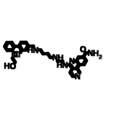 NC(=O)c1ccc2c(c1)nc(NCCNCCCCNCc1ccc(-c3ccccc3OCCO)c(Cl)c1)c1ccncc12